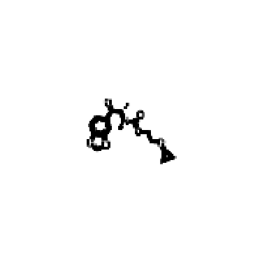 C[C@@H](C(=O)c1ccc2c(c1)OCO2)N(C)C(=O)OCCOC1CC1